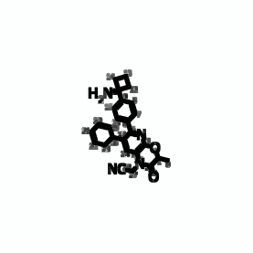 CC1Oc2nc(-c3ccc(C4(N)CCC4)cc3)c(C3C=CC=CC3)cc2N(CC#N)C1=O